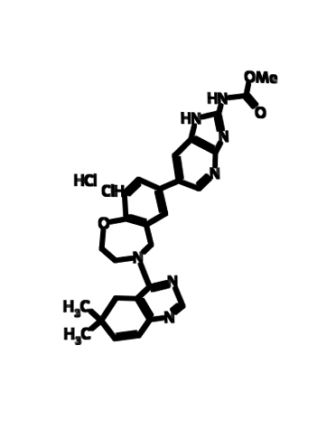 COC(=O)Nc1nc2ncc(-c3ccc4c(c3)CN(c3ncnc5c3CC(C)(C)C=C5)CCO4)cc2[nH]1.Cl.Cl